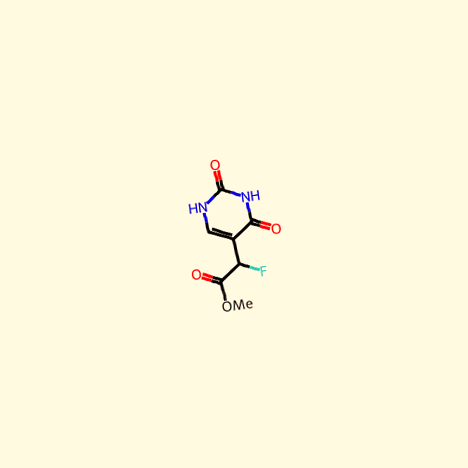 COC(=O)C(F)c1c[nH]c(=O)[nH]c1=O